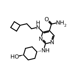 NC(=O)c1cnc(N[C@H]2CC[C@H](O)CC2)nc1NCCC1CCC1